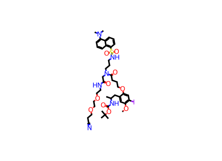 COc1cc(CC(C)NC(=O)OC(C)(C)C)c(OCCCC(=O)N(CCCNS(=O)(=O)c2cccc3c(N(C)C)cccc23)CC(=O)NCCOCCOCCC#N)cc1I